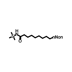 CCCCCCCCCCCCCCCCCC(=O)N[Si](C)(C)C